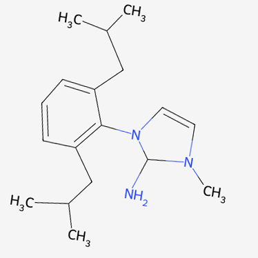 CC(C)Cc1cccc(CC(C)C)c1N1C=CN(C)C1N